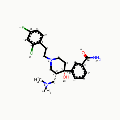 CN(C)C[C@@H]1CN(CCc2ccc(F)cc2Cl)CC[C@@]1(O)c1cccc(C(N)=O)c1